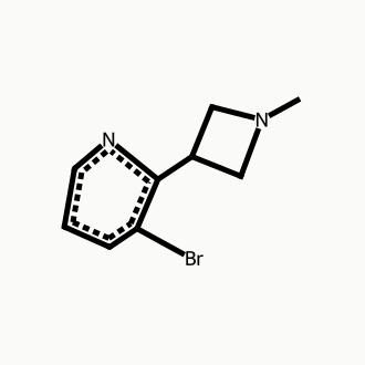 CN1CC(c2ncccc2Br)C1